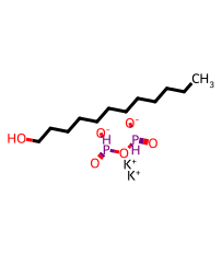 CCCCCCCCCCCCO.O=[PH]([O-])O[PH](=O)[O-].[K+].[K+]